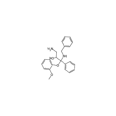 COc1ccccc1OC(NCc1ccccc1)(c1ccccc1)C(O)CN